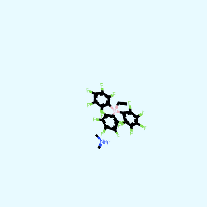 C=C[B-](c1c(F)c(F)c(F)c(F)c1F)(c1c(F)c(F)c(F)c(F)c1F)c1c(F)c(F)c(F)c(F)c1F.C[NH+](C)C